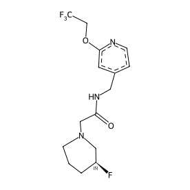 O=C(CN1CCC[C@H](F)C1)NCc1ccnc(OCC(F)(F)F)c1